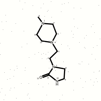 CN1CCN(CCN2CCNC2=O)CC1